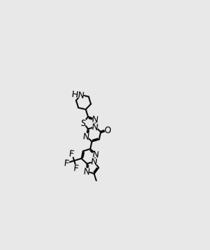 Cc1cn2nc(-c3cc(=O)n4nc(C5CCNCC5)sc4n3)cc(C(F)(F)F)c2n1